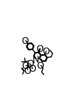 C=C(C)OP(=O)(OCn1cc(-c2ccc(OC)cc2)c(=O)c2c3c(cc(OCCC)c21)CCCO3)OC(C)(C)C